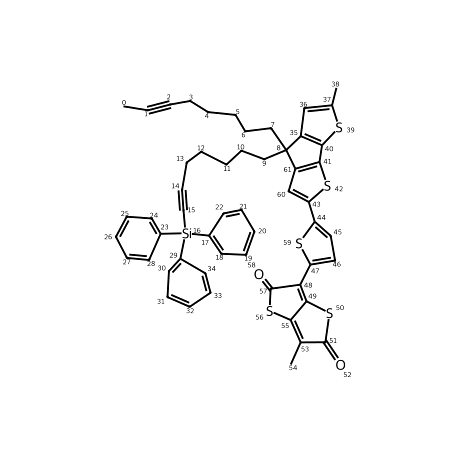 CC#CCCCCCC1(CCCCCC#C[Si](c2ccccc2)(c2ccccc2)c2ccccc2)c2cc(C)sc2-c2sc(-c3ccc(C4=C5SC(=O)C(C)=C5SC4=O)s3)cc21